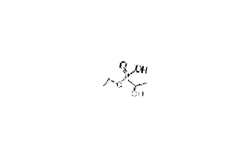 CCOP(=O)(O)C(C)O